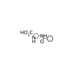 O=C(NC1CN[C@H](C(=O)O)C1)c1ccccc1